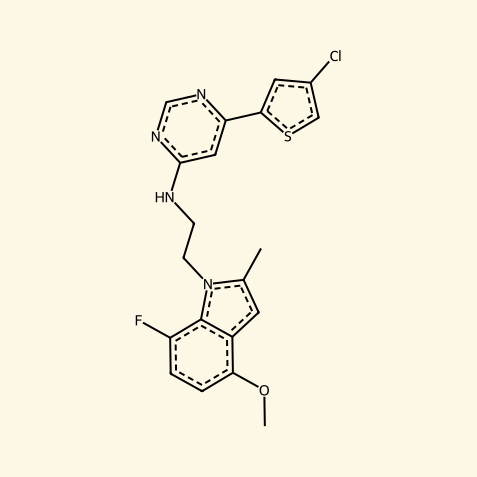 COc1ccc(F)c2c1cc(C)n2CCNc1cc(-c2cc(Cl)cs2)ncn1